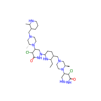 CCC1NC(N2CC(N3CCN(CC4CCCNC4C)C[C@H]3C)C(Cl)C(=O)N2)CCC1CN1CCN(C2CNNC(=O)C2Cl)[C@H](C)C1